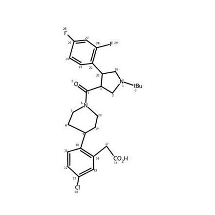 CC(C)(C)N1CC(C(=O)N2CCC(c3ccc(Cl)cc3CC(=O)O)CC2)C(c2ccc(F)cc2F)C1